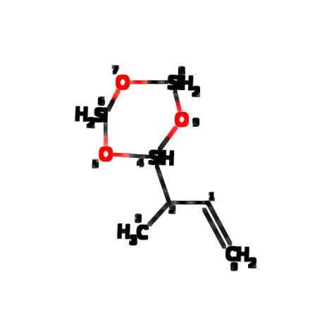 C=CC(C)[SiH]1O[SiH2]O[SiH2]O1